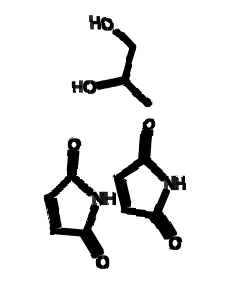 CC(O)CO.O=C1C=CC(=O)N1.O=C1C=CC(=O)N1